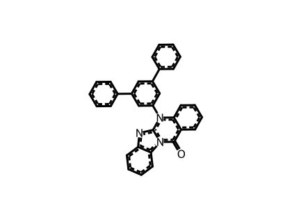 O=c1c2ccccc2n(-c2cc(-c3ccccc3)cc(-c3ccccc3)c2)c2nc3ccccc3n12